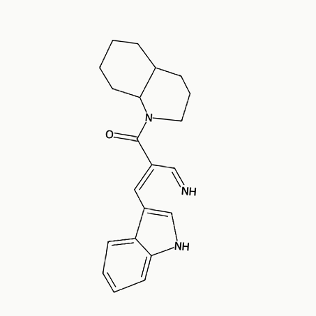 N=C/C(=C\c1c[nH]c2ccccc12)C(=O)N1CCCC2CCCCC21